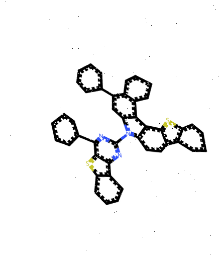 c1ccc(-c2cc3c(c4ccccc24)c2c4sc5ccccc5c4ccc2n3-c2nc(-c3ccccc3)c3sc4ccccc4c3n2)cc1